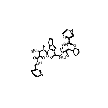 CCC[C@@H](NC(=O)[C@@H]1C2CCCC2CN1C(=O)[C@@H](NC(=O)[C@H](NC(=O)c1cnccn1)C1CCCCC1)C(C)(C)C)C(=O)C(=O)NCc1cccnc1